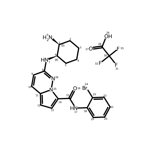 N[C@H]1CCCC[C@H]1Nc1ccc2ccc(C(=O)Nc3ccccc3Br)n2n1.O=C(O)C(F)(F)F